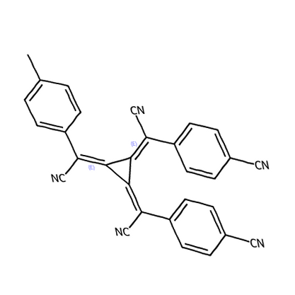 Cc1ccc(/C(C#N)=C2/C(=C(C#N)c3ccc(C#N)cc3)/C2=C(/C#N)c2ccc(C#N)cc2)cc1